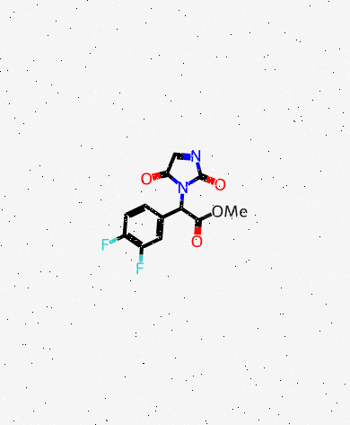 COC(=O)C(c1ccc(F)c(F)c1)N1C(=O)C=NC1=O